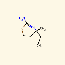 CC[C@]1(C)CCSC(N)=N1